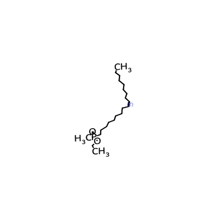 CCCCCCCC/C=C\CCCCCCCCP(C)(=O)OCC